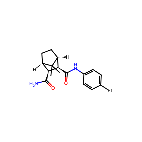 CCc1ccc(NC(=O)[C@H]2[C@@H](C(N)=O)[C@H]3CC[C@@H]2C3(C)C)cc1